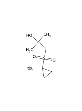 CC(C)(O)CS(=O)(=O)C1(C(C)(C)C)CC1